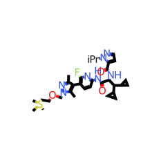 Cc1nn(COCCS(C)(C)C)c(C)c1-c1ccc(NC(=O)C(NC(=O)c2ccnn2C(C)C)C(C2CC2)C2CC2)nc1F